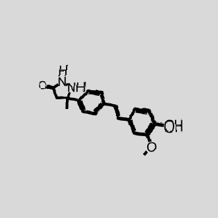 COc1cc(C=Cc2ccc(C3(C)CC(=O)NN3)cc2)ccc1O